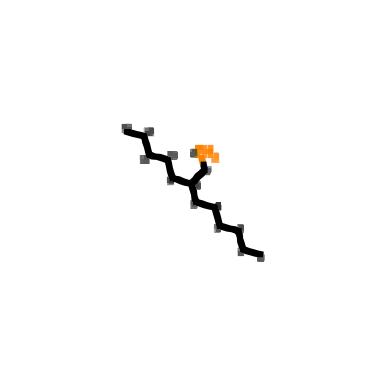 CCCCCCC(CP)CCCCC